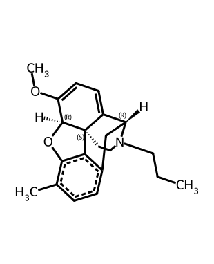 CCCN1CC[C@@]23C4=CC=C(OC)[C@@H]2Oc2c(C)ccc(c23)C[C@H]41